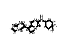 FC1(F)CCC(Nc2ncc3c(-c4cnc5nccn5c4)ccn3n2)CC1